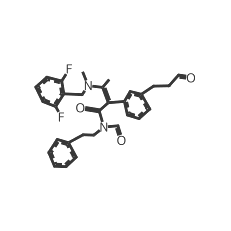 C/C(=C(/C(=O)N(C=O)CCc1ccccc1)c1cccc(CCC=O)c1)N(C)Cc1c(F)cccc1F